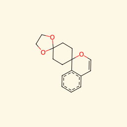 C1=Cc2ccccc2C2(CCC3(CC2)OCCO3)O1